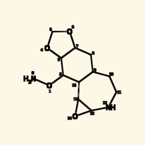 NOC1C2OCOC2CC2CCNC3OC3C21